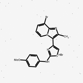 Br.COc1ccc(Nc2nc(-c3c(C)nc4c(Br)cccn34)cs2)cc1